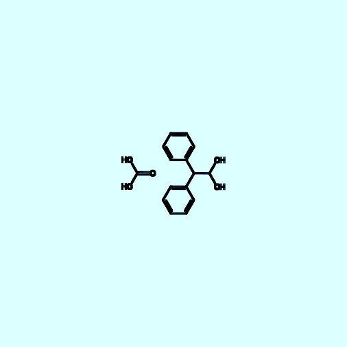 O=C(O)O.OC(O)C(c1ccccc1)c1ccccc1